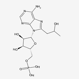 CC(O)Cc1nc2c(N)ncnc2n1[C@@H]1O[C@H](COP(=O)(O)O)[C@@H](O)[C@H]1O